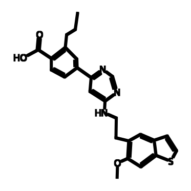 CCCc1cc(-c2cc(NCCc3cc4ccsc4cc3OC)ncn2)ccc1C(=O)O